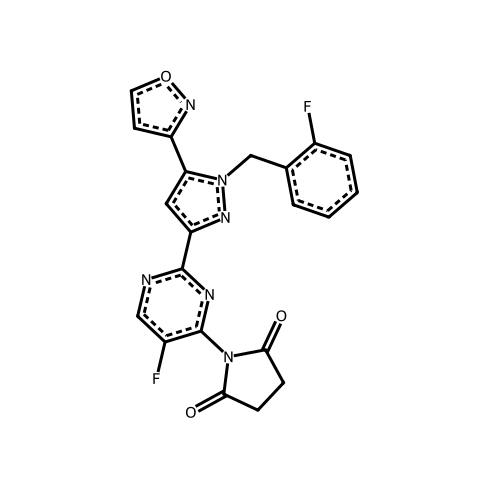 O=C1CCC(=O)N1c1nc(-c2cc(-c3ccon3)n(Cc3ccccc3F)n2)ncc1F